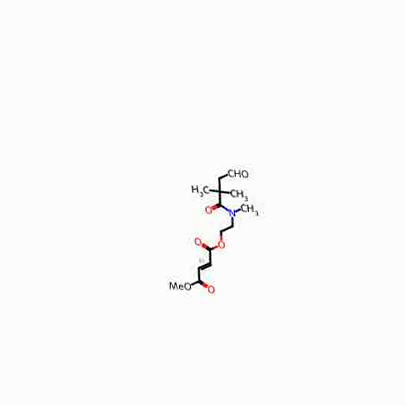 COC(=O)/C=C/C(=O)OCCN(C)C(=O)C(C)(C)CC=O